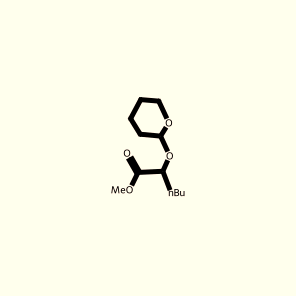 CCCCC(OC1CCCCO1)C(=O)OC